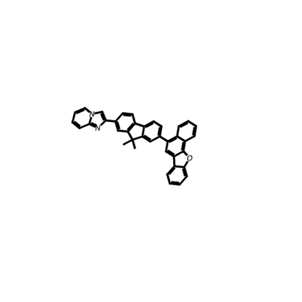 CC1(C)c2cc(-c3cn4ccccc4n3)ccc2-c2ccc(-c3cc4c5ccccc5oc4c4ccccc34)cc21